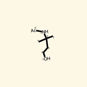 CC(=O)NC(C)(C)CCO